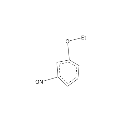 CCOc1cccc(N=O)c1